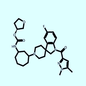 Cc1cc(C(=O)N2CC3(CCN(C4CCCCC(NC(=O)O[C@H]5CCOC5)C4)CC3)c3cc(F)ccc32)nn1C